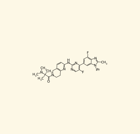 Cc1nc2c(F)cc(-c3nc(Nc4ccc5c(n4)CCN(C(=O)C(C)(C)N(C)C)C5)ncc3F)cc2n1C(C)C